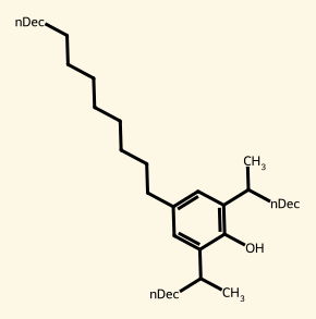 CCCCCCCCCCCCCCCCCCc1cc(C(C)CCCCCCCCCC)c(O)c(C(C)CCCCCCCCCC)c1